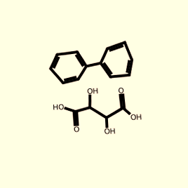 O=C(O)C(O)C(O)C(=O)O.c1ccc(-c2ccccc2)cc1